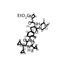 CCOC(=O)N1CC[C@H]1C(=O)N[C@@H](C(=O)N1CCN(C)[C@H](C)C1)[C@@H](C)c1ccc(NC(=O)[C@@H](NC(=O)C2(F)CC2)C(C2CC2)C2CC2)c(F)c1